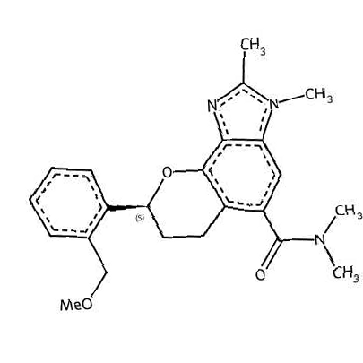 COCc1ccccc1[C@@H]1CCc2c(C(=O)N(C)C)cc3c(nc(C)n3C)c2O1